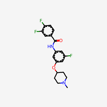 CN1CCC(Oc2cc(F)cc(NC(=O)c3ccc(F)c(F)c3)c2)CC1